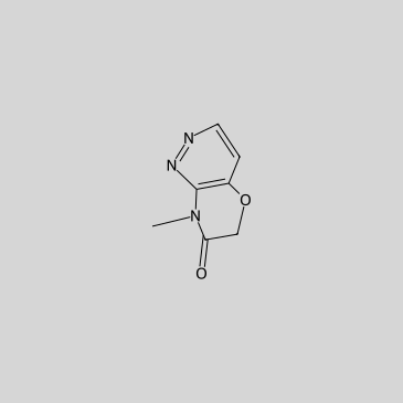 CN1C(=O)COc2ccnnc21